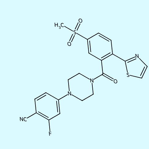 CS(=O)(=O)c1ccc(-c2nccs2)c(C(=O)N2CCN(c3ccc(C#N)c(F)c3)CC2)c1